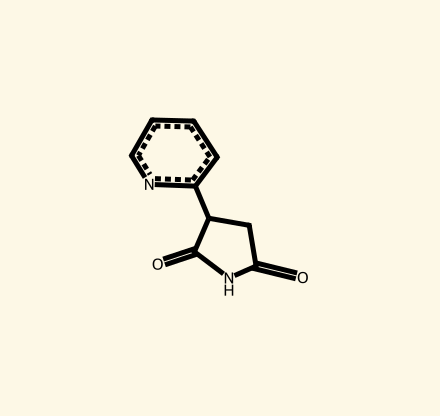 O=C1CC(c2ccccn2)C(=O)N1